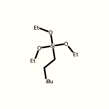 CCO[Si](CCC(C)CC)(OCC)OCC